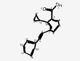 O=C(O)c1cccc(C#Cc2ccccc2)c1C1CC1